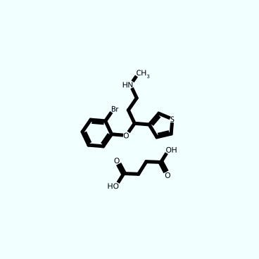 CNCCC(Oc1ccccc1Br)c1ccsc1.O=C(O)CCC(=O)O